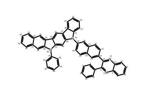 c1ccc(-c2nc3ccccc3nc2-c2ccc3cc(-n4c5ccccc5c5cc6c7cc8ccccc8cc7n(-c7ccccc7)c6cc54)ccc3c2)cc1